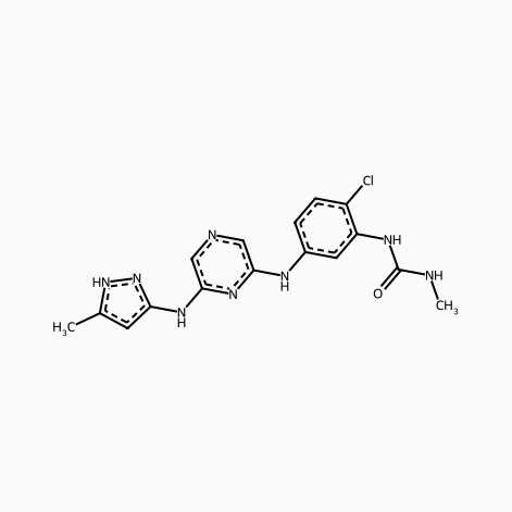 CNC(=O)Nc1cc(Nc2cncc(Nc3cc(C)[nH]n3)n2)ccc1Cl